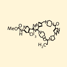 C=CC(=O)N1CCC(n2cc(C(=O)N3CCN(Cc4cc5c(N6CCOCC6)nc(-c6cnc(NC(=O)OC)cc6C(F)(F)F)nn5c4)CC3)nn2)C1